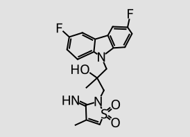 CC1=CS(=O)(=O)N(CC(C)(O)Cn2c3ccc(F)cc3c3cc(F)ccc32)C1=N